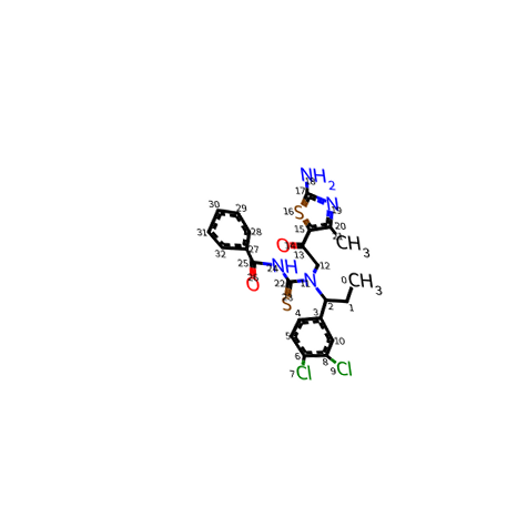 CCC(c1ccc(Cl)c(Cl)c1)N(CC(=O)c1sc(N)nc1C)C(=S)NC(=O)c1ccccc1